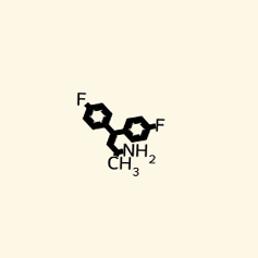 CC(N)C=C(c1ccc(F)cc1)c1ccc(F)cc1